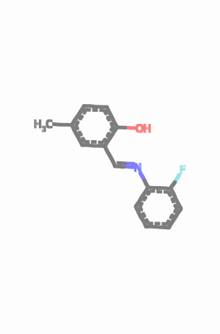 Cc1ccc(O)c(/C=N/c2ccccc2F)c1